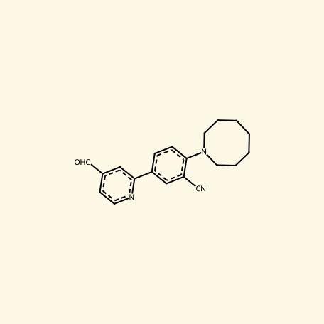 N#Cc1cc(-c2cc(C=O)ccn2)ccc1N1CCCCCCC1